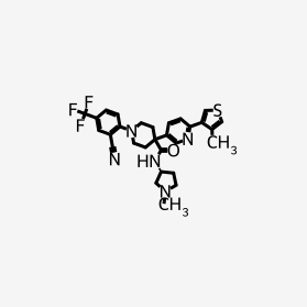 Cc1cscc1-c1ccc(C2(C(=O)N[C@@H]3CCN(C)C3)CCN(c3ccc(C(F)(F)F)cc3C#N)CC2)cn1